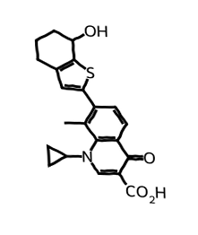 Cc1c(-c2cc3c(s2)C(O)CCC3)ccc2c(=O)c(C(=O)O)cn(C3CC3)c12